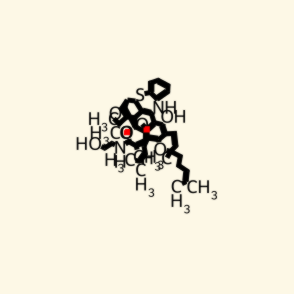 CC(C)=CCCC1(C)C=Cc2c(O)c3c(c(CC=C(C)C)c2O1)OC12C4=C3Nc3ccccc3SC4C3CC1C(C)(C)OC2(C/C=C(/C)C(=O)NCCO)C3=O